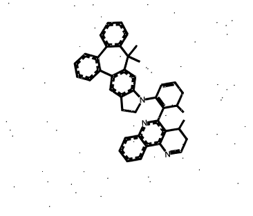 CC1CC=CC(N2CCc3cc4c(cc32)C(C)(C)c2ccccc2-c2ccccc2-4)=C1c1nc2ccccc2c2c1C(C)CC=N2